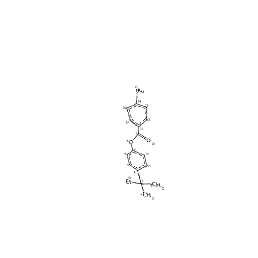 CCC(C)(C)c1ccc(OC(=O)c2ccc(C(C)(C)C)cc2)cc1